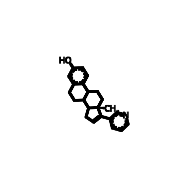 C[C@]12CCC3c4ccc(O)cc4CCC3C1CC=C2c1cccnc1